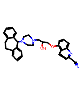 N#Cc1ccc2c(OCC(O)CN3CCN(C4c5ccccc5CCc5ccccc54)CC3)cccc2n1